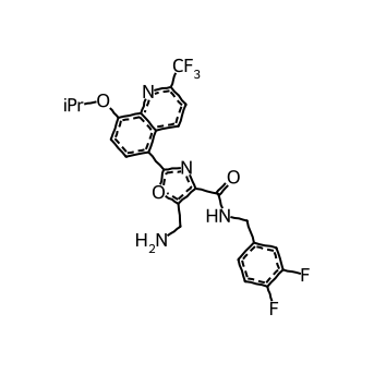 CC(C)Oc1ccc(-c2nc(C(=O)NCc3ccc(F)c(F)c3)c(CN)o2)c2ccc(C(F)(F)F)nc12